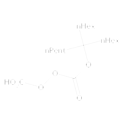 CCCCCCC(CCCCC)(CCCCCC)OC(=O)OOC(=O)O